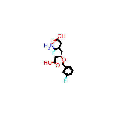 NC(F)C(CC(=O)O)C[C@H](CC(=O)O)OCc1cccc(F)c1